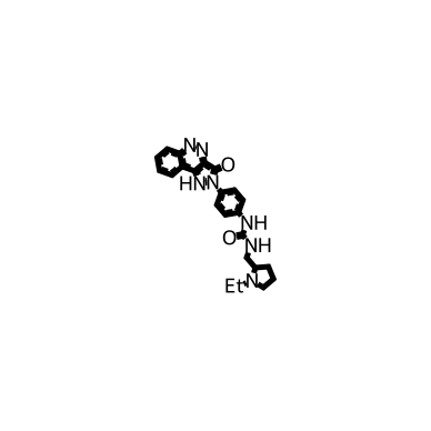 CCN1CCCC1CNC(=O)Nc1ccc(-n2[nH]c3c(nnc4ccccc43)c2=O)cc1